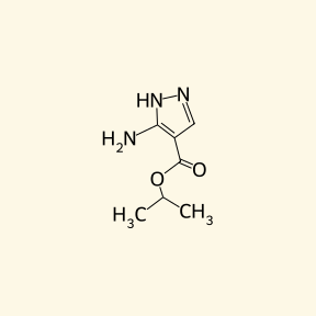 CC(C)OC(=O)c1cn[nH]c1N